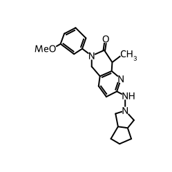 COc1cccc(N2Cc3ccc(NN4CC5CCCC5C4)nc3C(C)C2=O)c1